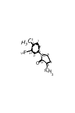 Cc1ccc(N2CCC(C)C2=O)cc1F